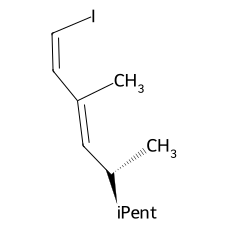 CCC[C@H](C)[C@@H](C)/C=C(C)/C=C\I